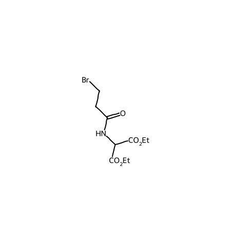 CCOC(=O)C(NC(=O)CCBr)C(=O)OCC